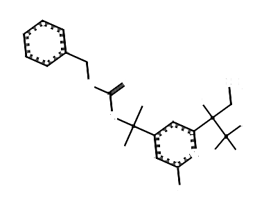 CC(C)(NC(=O)OCc1ccccc1)c1cc(Cl)nc(C(O)(CN)C(F)(F)F)c1